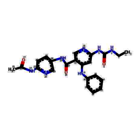 CCNC(=O)Nc1cc(Nc2ccccc2)c(C(=O)Nc2ccc(NC(C)=O)nc2)cn1